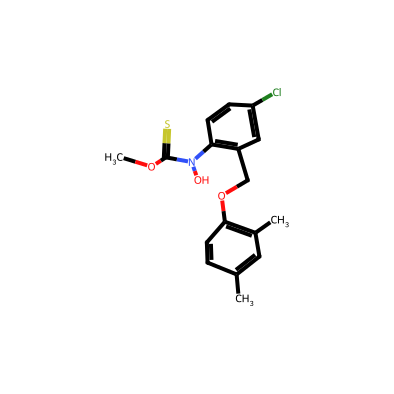 COC(=S)N(O)c1ccc(Cl)cc1COc1ccc(C)cc1C